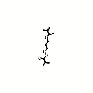 C=C(C)C(=O)OCCCOOC(=O)C(=C)C